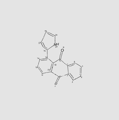 O=C1c2ccccc2C(=O)c2c1cccc2-c1ccc[nH]1